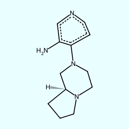 Nc1cnccc1N1CCN2CCC[C@H]2C1